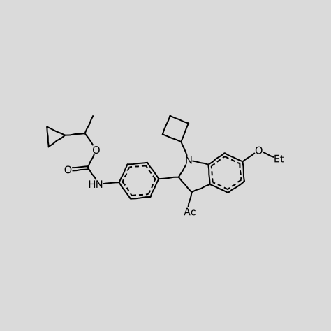 CCOc1ccc2c(c1)N(C1CCC1)C(c1ccc(NC(=O)OC(C)C3CC3)cc1)C2C(C)=O